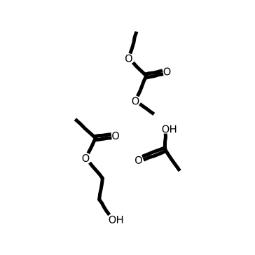 CC(=O)O.CC(=O)OCCO.COC(=O)OC